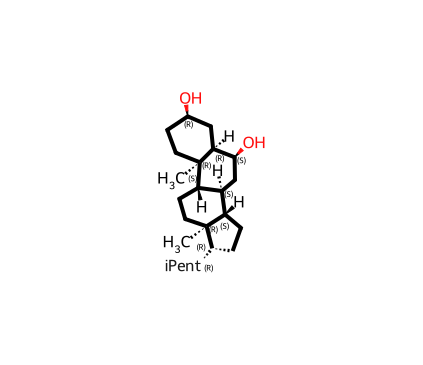 CCC[C@@H](C)[C@H]1CC[C@H]2[C@@H]3C[C@H](O)[C@@H]4C[C@H](O)CC[C@]4(C)[C@H]3CC[C@]12C